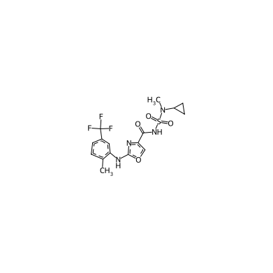 Cc1ccc(C(F)(F)F)cc1Nc1nc(C(=O)NS(=O)(=O)N(C)C2CC2)co1